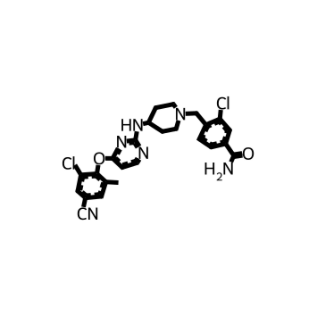 Cc1cc(C#N)cc(Cl)c1Oc1ccnc(NC2CCN(Cc3ccc(C(N)=O)cc3Cl)CC2)n1